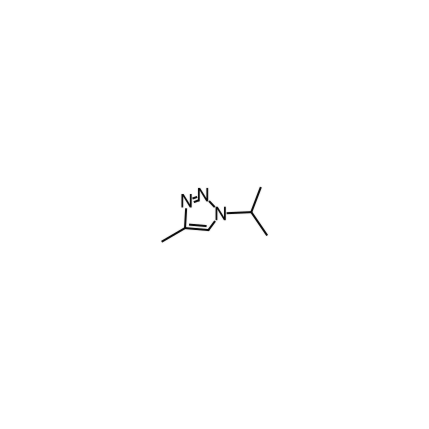 Cc1cn(C(C)C)nn1